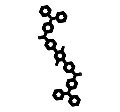 Cc1cc(-c2ccc(C(=O)c3ccc(N(c4ccccc4)c4ccccc4)cc3)cc2)c(C)cc1-c1ccc(C(=O)c2ccc(N(c3ccccc3)c3ccccc3)cc2)cc1